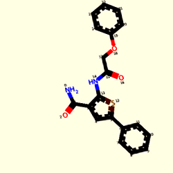 NC(=O)c1cc(-c2ccccc2)sc1NC(=O)COc1ccccc1